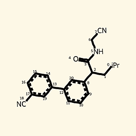 CC(C)CC(C(=O)NCC#N)c1cccc(-c2cccc(C#N)c2)c1